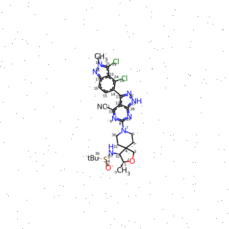 C[C@@H]1OCC2(CCN(c3nc(C#N)c4c(-c5ccc6nn(C)c(Cl)c6c5Cl)n[nH]c4n3)CC2)[C@@H]1N[S@+]([O-])C(C)(C)C